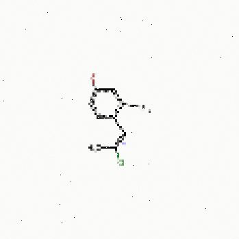 C/C(Cl)=C\c1ccc(Br)cc1C